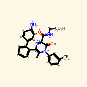 Cc1c(-c2ccccc2-c2ccc(N)cc2)nc(C(=O)NCC(=O)O)c(=O)n1-c1cccc(C(F)(F)F)c1